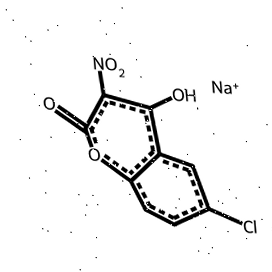 O=c1oc2ccc(Cl)cc2c(O)c1[N+](=O)[O-].[Na+]